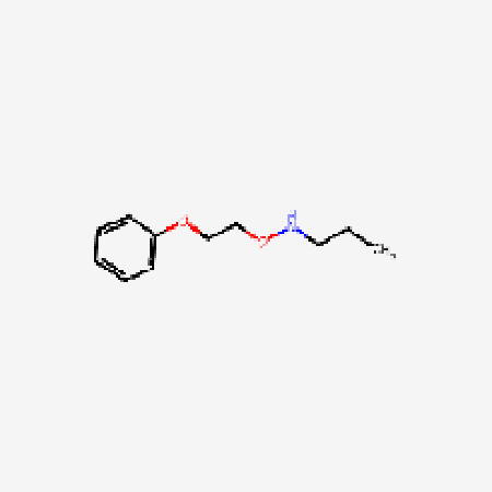 CCCNOCCOc1ccccc1